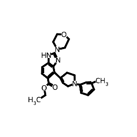 CCOC(=O)c1ccc2[nH]c(N3CCOCC3)nc2c1C1=CCN(c2cccc(C)c2)CC1